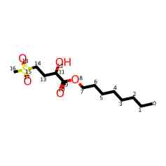 CCCCCCCCOC(=O)C(O)CCS(C)(=O)=O